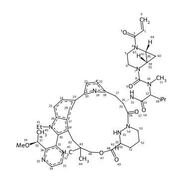 C=CC(=O)N1CCN(C(=O)N(C)C(C(=O)N[C@H]2Cc3nc(cs3)-c3ccc4c(c3)c(c(-c3cccnc3[C@H](C)OC)n4CC)CC(C)(C)COC(=O)[C@@H]3CCCN(N3)C2=O)C(C)C)[C@H]2C[C@H]21